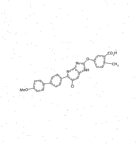 COc1ccc(-c2ccc(-c3nc4nc(Oc5ccc(C)c(C(=O)O)c5)[nH]c4cc3Cl)cc2)cc1